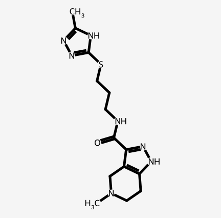 Cc1nnc(SCCCNC(=O)c2n[nH]c3c2CN(C)CC3)[nH]1